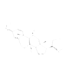 C[C@H]1C[C@H]2C3CC[C@H](/C(CO)=N/O)[C@@]3(C)C[C@H](O)[C@@H]2[C@@]2(C)C=C/C(=N\O)C=C12